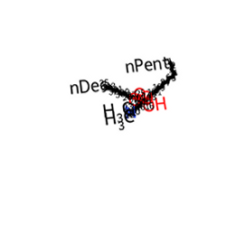 CCCCC/C=C\C/C=C\CCCCCCCCOC(O)C(CCCN(C)C)C(=O)OCCCCCCCCCCCCCCCCCC